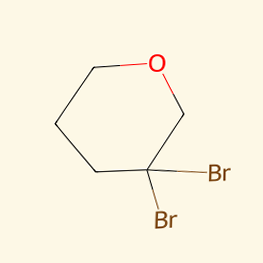 BrC1(Br)CCCOC1